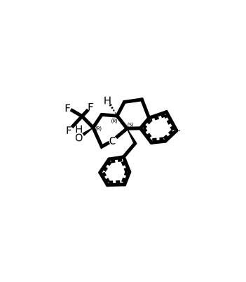 O[C@]1(C(F)(F)F)CC[C@@]2(Cc3ccccc3)c3cc[c]cc3CC[C@@H]2C1